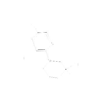 Cc1cc(Br)cnc1N1CCOC(C)(C)C1